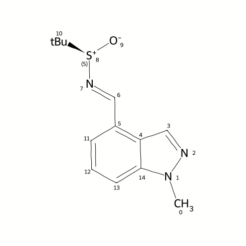 Cn1ncc2c(C=N[S@+]([O-])C(C)(C)C)cccc21